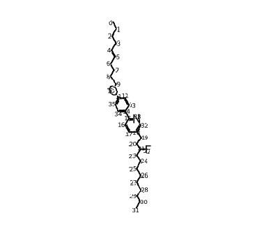 CCCCCCCCCCOc1ccc(-c2ccc(CCC(F)CCCCCCCCC)cn2)cc1